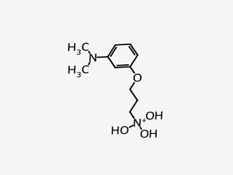 CN(C)c1cccc(OCCC[N+](O)(O)O)c1